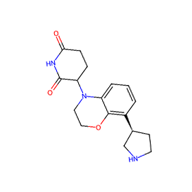 O=C1CCC(N2CCOc3c([C@H]4CCNC4)cccc32)C(=O)N1